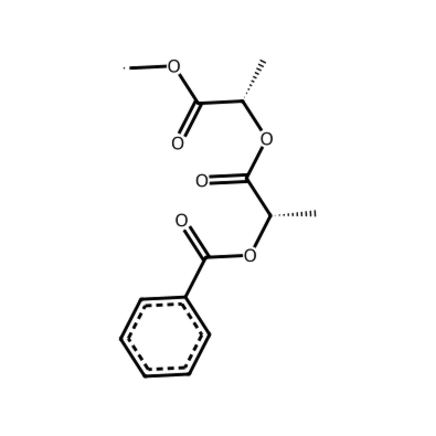 [CH2]OC(=O)[C@H](C)OC(=O)[C@H](C)OC(=O)c1ccccc1